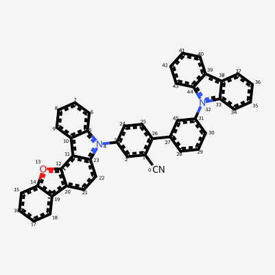 N#Cc1cc(-n2c3ccccc3c3c4oc5ccccc5c4ccc32)ccc1-c1cccc(-n2c3ccccc3c3ccccc32)c1